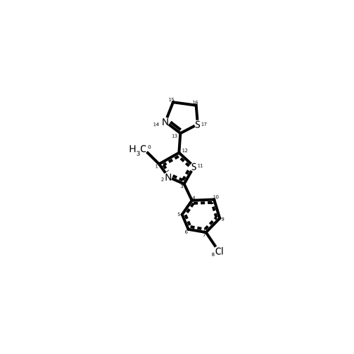 Cc1nc(-c2ccc(Cl)cc2)sc1C1=NCCS1